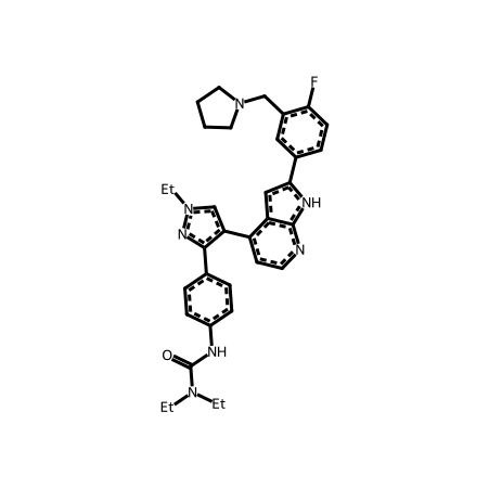 CCN(CC)C(=O)Nc1ccc(-c2nn(CC)cc2-c2ccnc3[nH]c(-c4ccc(F)c(CN5CCCC5)c4)cc23)cc1